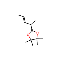 C/C=C/C(C)B1OC(C)(C)C(C)(C)O1